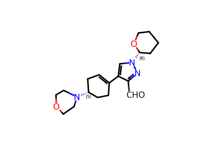 O=Cc1nn([C@H]2CCCCO2)cc1C1=CC[C@@H](N2CCOCC2)CC1